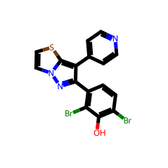 Oc1c(Br)ccc(-c2nn3ccsc3c2-c2ccncc2)c1Br